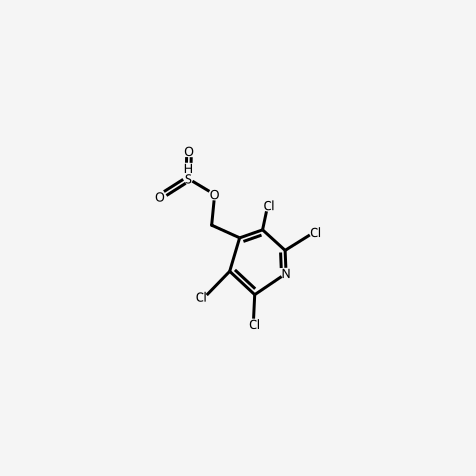 O=[SH](=O)OCc1c(Cl)c(Cl)nc(Cl)c1Cl